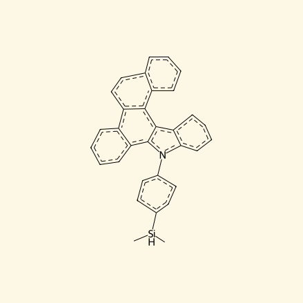 C[SiH](C)c1ccc(-n2c3ccccc3c3c4c5ccccc5ccc4c4ccccc4c32)cc1